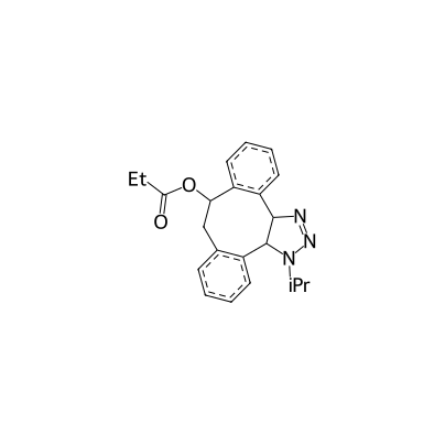 CCC(=O)OC1Cc2ccccc2C2C(N=NN2C(C)C)c2ccccc21